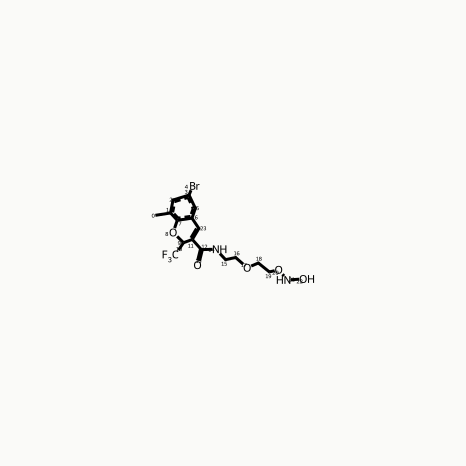 Cc1cc(Br)cc2c1OC(C(F)(F)F)C(C(=O)NCCOCCONO)=C2